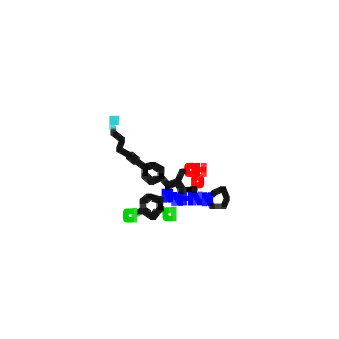 O=C(NN1CCCCC1)c1nn(-c2ccc(Cl)cc2Cl)c(-c2ccc(C#CCCCF)cc2)c1CO